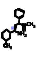 CNC(/C=C(\N)C1CC=CC(C)C1)c1ccccc1